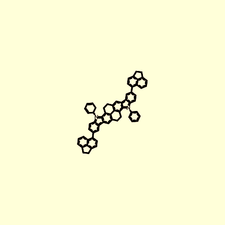 C1=CCC(n2c3ccc(-c4ccc5c6c(cccc46)CC5)cc3c3cc4c5c(c32)CCc2cc3c6cc(-c7ccc8c9c(cccc79)CC8)ccc6n(-c6ccccc6)c3c(c2-5)CC4)C=C1